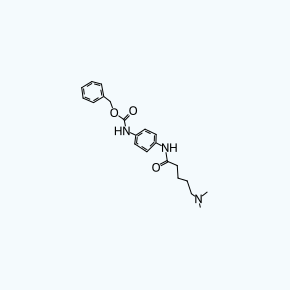 CN(C)CCCCC(=O)Nc1ccc(NC(=O)OCc2ccccc2)cc1